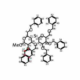 CO[C@H]1OC(COCc2ccccc2)[C@H](S[C@H]2CC(OCc3ccccc3)[C@H](OCc3ccccc3)C(COCc3ccccc3)O2)C(OCc2ccccc2)C1OCc1ccccc1